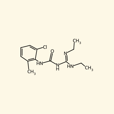 CCN=C(NCC)NC(=O)Nc1c(C)cccc1Cl